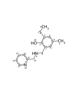 CSc1cc(C)cc(CNCc2ccccn2)c1O